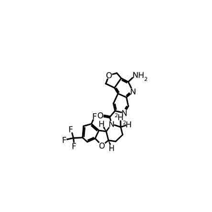 [2H]C1([2H])CC[C@@H]2Oc3cc(C(F)(F)F)cc(F)c3[C@@H]2N1C(=O)c1cc2c3c(c(N)nc2cn1)COC3